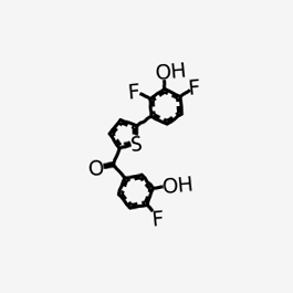 O=C(c1ccc(F)c(O)c1)c1ccc(-c2ccc(F)c(O)c2F)s1